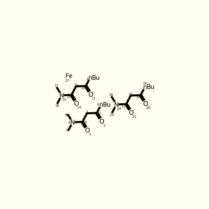 CCCCC(=O)CC(=O)N(C)C.CCCCC(=O)CC(=O)N(C)C.CCCCC(=O)CC(=O)N(C)C.[Fe]